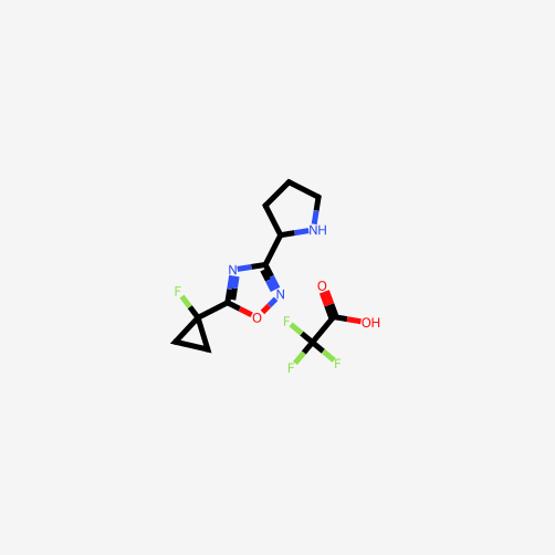 FC1(c2nc(C3CCCN3)no2)CC1.O=C(O)C(F)(F)F